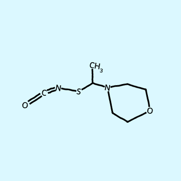 CC(SN=C=O)N1CCOCC1